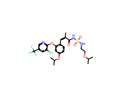 CC(=Cc1ccc(OC(C)C)cc1Oc1ncc(C(F)(F)F)cc1Cl)C(=O)NS(=O)(=O)NCCOC(C)C